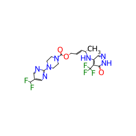 C[C@@H](/C=C/COC(=O)N1CCN(c2ncc(C(F)F)cn2)CC1)Nc1cn[nH]c(=O)c1C(F)(F)F